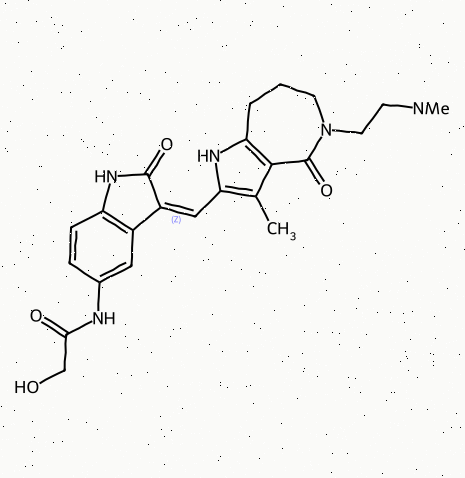 CNCCN1CCCc2[nH]c(/C=C3\C(=O)Nc4ccc(NC(=O)CO)cc43)c(C)c2C1=O